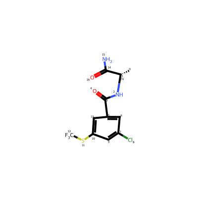 C[C@H](NC(=O)c1cc(Cl)cc(SC(F)(F)F)c1)C(N)=O